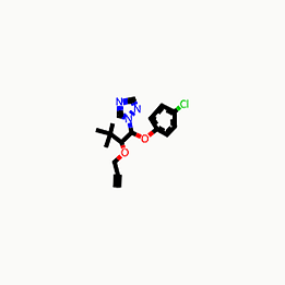 C#CCOC(C(Oc1ccc(Cl)cc1)n1cncn1)C(C)(C)C